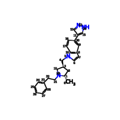 C[C@H]1C[C@H](Cn2ccc3cc(-c4cn[nH]c4)ccc32)CN1CCc1ccccc1